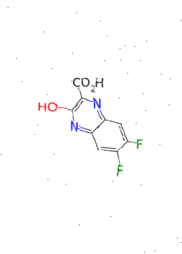 O=C(O)c1nc2cc(F)c(F)cc2nc1O